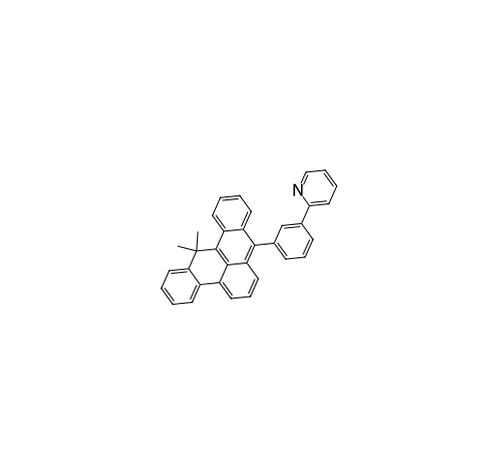 CC1(C)c2ccccc2-c2cccc3c(-c4cccc(-c5ccccn5)c4)c4ccccc4c1c23